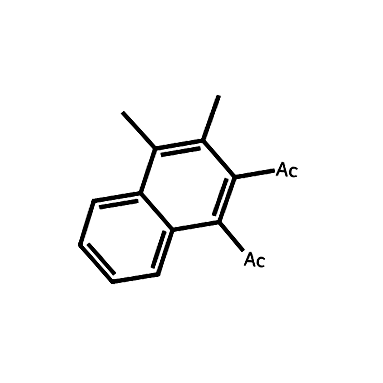 CC(=O)c1c(C)c(C)c2ccccc2c1C(C)=O